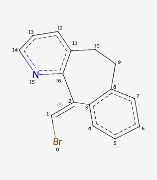 Br/C=C1\c2ccccc2CCc2cccnc21